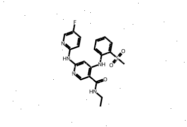 CCNC(=O)c1cnc(Nc2ccc(F)cn2)cc1Nc1ccccc1S(C)(=O)=O